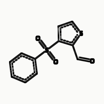 O=Cc1sccc1S(=O)(=O)c1ccccc1